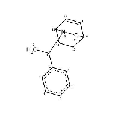 CC(c1ccccc1)N1CC2C=CC1CC2